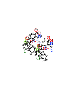 Cc1noc(=O)c2ccc(C(=O)C(O)(CC3(c4ccccc4Cl)CCCC3)C(F)(F)F)c(N)c12.Cc1noc(=O)c2ccc(C(=O)C(O)(CC3(c4ccccc4Cl)CCCC3)C(F)(F)F)c(N)c12